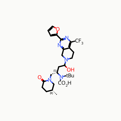 C[C@@H]1CCC(=O)N(C[C@H](CC(O)N2CCc3c(nc(-c4ccco4)nc3C(F)(F)F)C2)N(C(=O)O)C(C)(C)C)C1